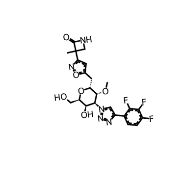 CO[C@@H]1[C@@H](n2cc(-c3ccc(F)c(F)c3F)nn2)[C@@H](O)[C@@H](CO)O[C@@H]1Cc1cc(C2(C)CNC2=O)no1